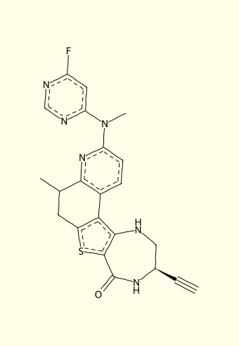 C#C[C@@H]1CNc2c(sc3c2-c2ccc(N(C)c4cc(F)ncn4)nc2C(C)C3)C(=O)N1